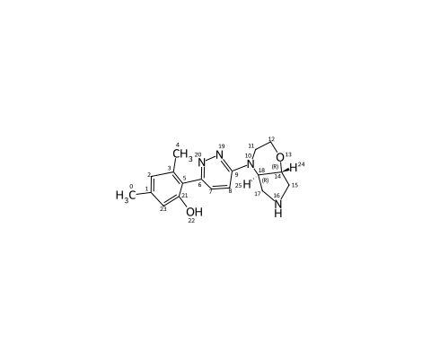 Cc1cc(C)c(-c2ccc(N3CCO[C@@H]4CNC[C@H]43)nn2)c(O)c1